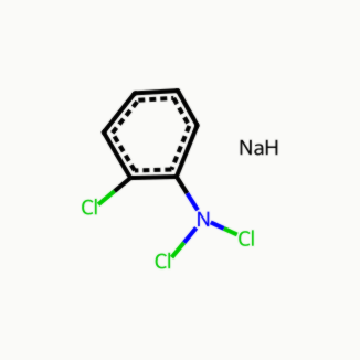 Clc1ccccc1N(Cl)Cl.[NaH]